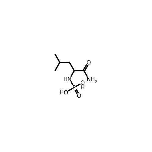 CC(C)CC(NP(=O)(O)O)C(N)=O